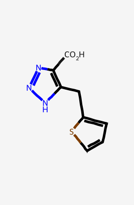 O=C(O)c1nn[nH]c1Cc1cc[c]s1